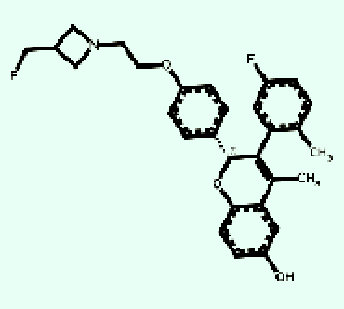 CC1=C(c2cc(F)ccc2C)[C@@H](c2ccc(OCCN3CC(CF)C3)cc2)Oc2ccc(O)cc21